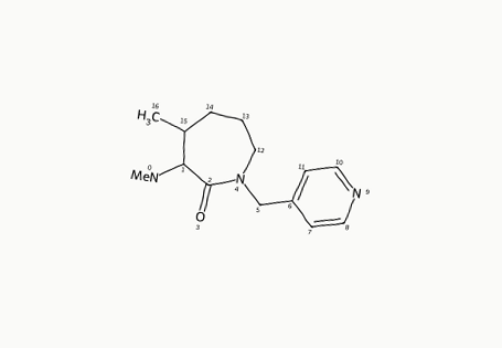 CNC1C(=O)N(Cc2ccncc2)CCCC1C